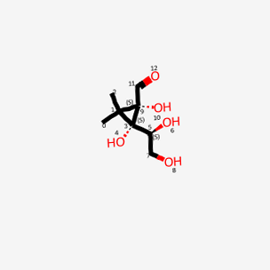 CC1(C)[C@](O)([C@@H](O)CO)[C@]1(O)C=O